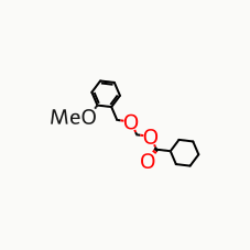 COc1ccccc1COCOC(=O)C1CCCCC1